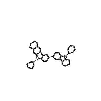 c1ccc(-n2c3ccccc3c3cc(-c4ccc5c(c4)c4cc6ccccc6cc4n5-c4ccccc4)ccc32)cc1